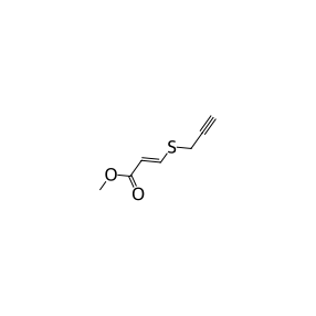 C#CCS/C=C/C(=O)OC